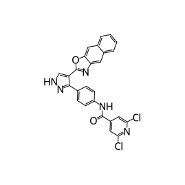 O=C(Nc1ccc(-c2n[nH]cc2-c2nc3cc4ccccc4cc3o2)cc1)c1cc(Cl)nc(Cl)c1